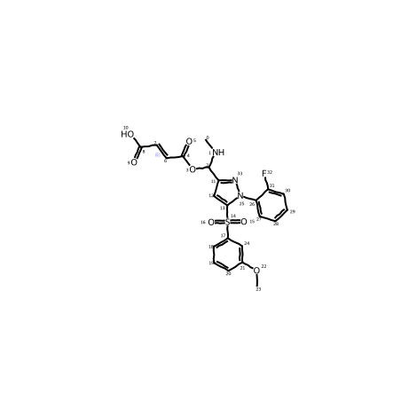 CNC(OC(=O)/C=C/C(=O)O)c1cc(S(=O)(=O)c2cccc(OC)c2)n(-c2ccccc2F)n1